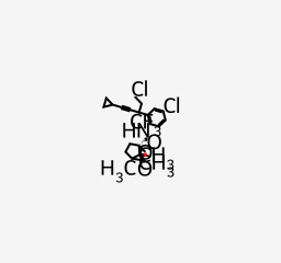 CC1(C)[C@@]2(C)CC[C@@]1(C(=O)Nc1ccc(Cl)cc1[C@](C#CC1CC1)(CCCl)C(F)(F)F)OC2=O